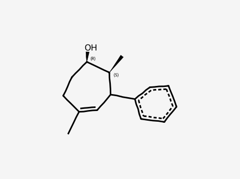 CC1=CC(c2ccccc2)[C@H](C)[C@H](O)CC1